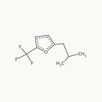 CC(C)Cc1ccc(C(F)(F)F)o1